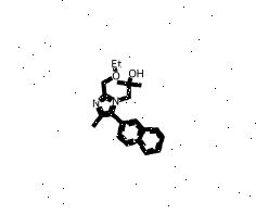 CCOCc1nc(C)c(-c2ccc3ccccc3c2)n1CC(C)(C)O